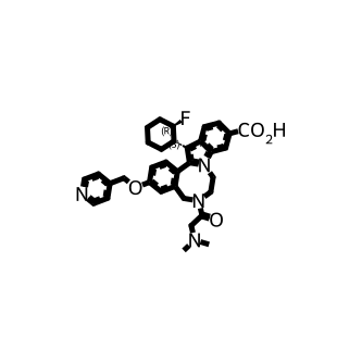 CN(C)CC(=O)N1CCn2c(c([C@@H]3CCCC[C@H]3F)c3ccc(C(=O)O)cc32)-c2ccc(OCc3ccncc3)cc2C1